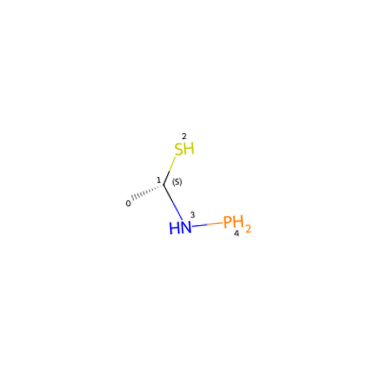 C[C@H](S)NP